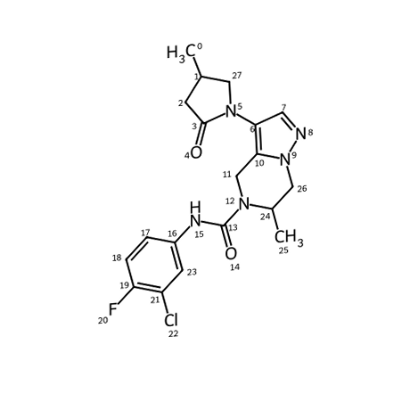 CC1CC(=O)N(c2cnn3c2CN(C(=O)Nc2ccc(F)c(Cl)c2)C(C)C3)C1